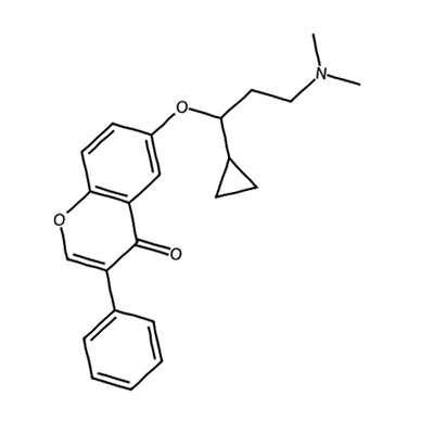 CN(C)CCC(Oc1ccc2occ(-c3ccccc3)c(=O)c2c1)C1CC1